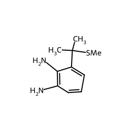 CSC(C)(C)c1cccc(N)c1N